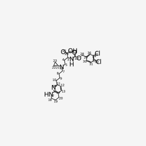 O=C(NC(CCN(CCCCc1ccc2c(n1)NCCC2)C1CC1)C(=O)O)OCc1ccc(Cl)c(Cl)c1